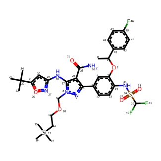 CC(Oc1cc(-c2nn(COCC[Si](C)(C)C)c(Nc3cc(C(C)(C)C)on3)c2C(N)=O)ccc1NS(=O)(=O)C(F)F)c1ccc(F)cc1